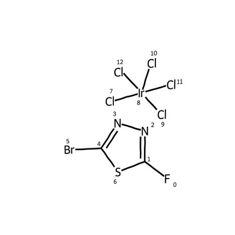 Fc1nnc(Br)s1.[Cl][Ir]([Cl])([Cl])([Cl])[Cl]